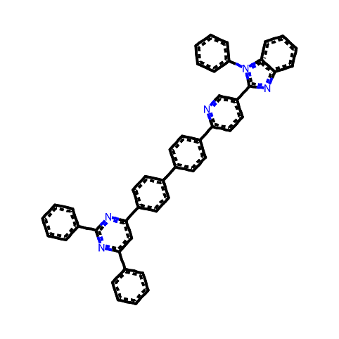 c1ccc(-c2cc(-c3ccc(-c4ccc(-c5ccc(-c6nc7ccccc7n6-c6ccccc6)cn5)cc4)cc3)nc(-c3ccccc3)n2)cc1